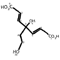 O=C(O)C=CC(O)(C=CC(=O)O)CCO